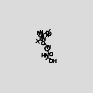 Cc1cc(-c2nncc3c(C(C)(C)C)c(OCc4ccc(C(=O)N[C@H](C)CO)cn4)nn23)no1